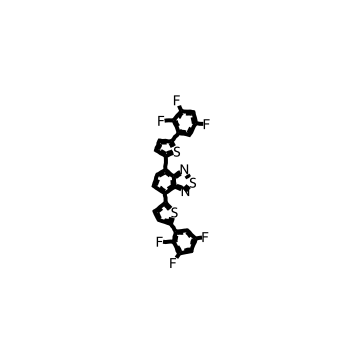 Fc1cc(F)c(F)c(-c2ccc(-c3ccc(-c4ccc(-c5cc(F)cc(F)c5F)s4)c4nsnc34)s2)c1